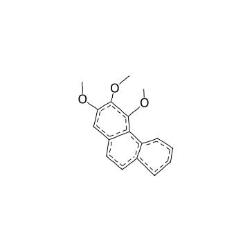 COc1cc2ccc3ccccc3c2c(OC)c1OC